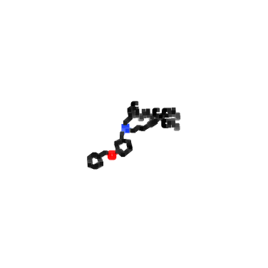 CCCCN(CC=CC#CC(C)(C)C)Cc1cccc(OCc2ccccc2)c1